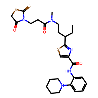 CCC(CCN(C)C(=O)CCN1C(=O)CSC1=S)c1nc(C(=O)Nc2ccccc2N2CCCCC2)cs1